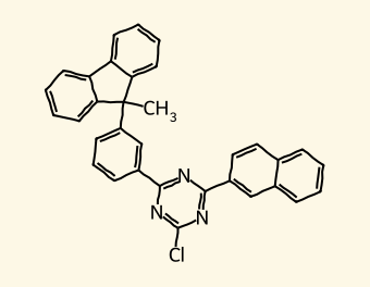 CC1(c2cccc(-c3nc(Cl)nc(-c4ccc5ccccc5c4)n3)c2)c2ccccc2-c2ccccc21